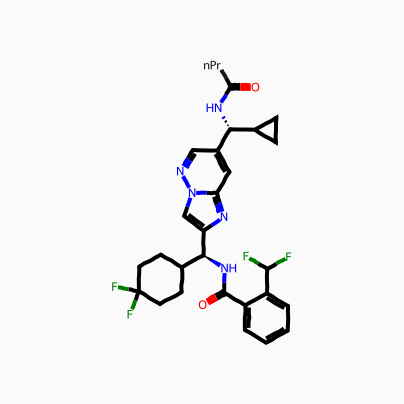 CCCC(=O)N[C@@H](c1cnn2cc([C@@H](NC(=O)c3ccccc3C(F)F)C3CCC(F)(F)CC3)nc2c1)C1CC1